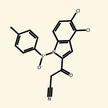 Cc1ccc([S+]([O-])n2c(C(=O)CC#N)cc3c(Cl)c(Cl)ccc32)cc1